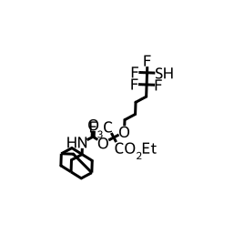 CCOC(=O)C(OCCCCC(F)(F)C(F)(F)S)(OC(=O)NC12CC3CC(CC(C3)C1)C2)C(F)(F)F